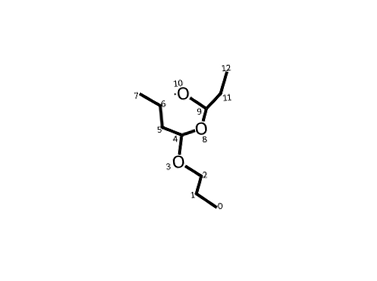 CCCOC(CCC)OC([O])CC